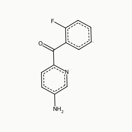 Nc1ccc(C(=O)c2c[c]ccc2F)nc1